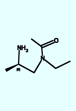 CCN(C[C@@H](C)N)C(C)=O